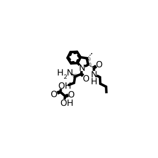 CCCCNC(=O)[C@H]1[C@@H](C)c2ccccc2N1C(=O)[C@@H](N)CC.O=C(O)C(=O)O